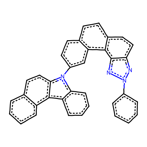 c1ccc(-n2nc3ccc4ccc5ccc(-n6c7ccccc7c7c8ccccc8ccc76)cc5c4c3n2)cc1